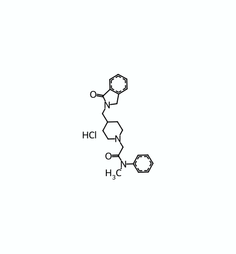 CN(C(=O)CN1CCC(CN2Cc3ccccc3C2=O)CC1)c1ccccc1.Cl